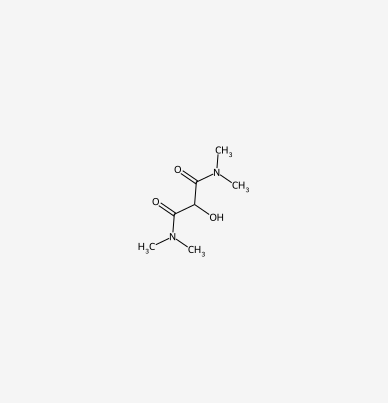 CN(C)C(=O)C(O)C(=O)N(C)C